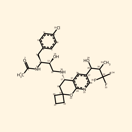 CC(=O)N[C@@H](Cc1ccc(Cl)cc1)[C@@H](O)CN[C@H]1CC2(CCC2)Oc2ncc(C(O)C(C)C(F)(F)F)cc21